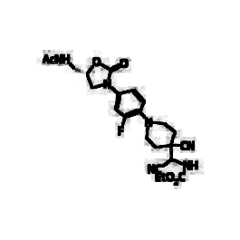 CCOC(=O)NC(C#N)C1(C#N)CCN(c2ccc(N3C[C@H](CNC(C)=O)OC3=O)cc2F)CC1